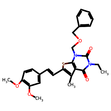 CCn1c(=O)c2c(C)c(C=Cc3ccc(OC)c(OC)c3)sc2n(COCc2ccccc2)c1=O